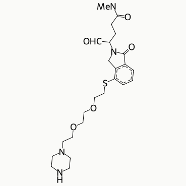 CNC(=O)CCC(C=O)N1Cc2c(SCCOCCOCCN3CCNCC3)cccc2C1=O